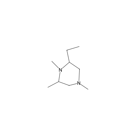 CCC1CN(C)CC(C)N1C